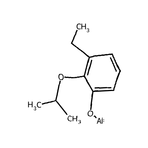 CCc1cccc([O][Al])c1OC(C)C